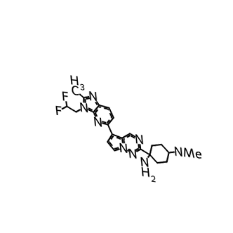 CNC1CCC(N)(c2ncc3c(-c4ccc5nc(C)n(CC(F)F)c5n4)ccn3n2)CC1